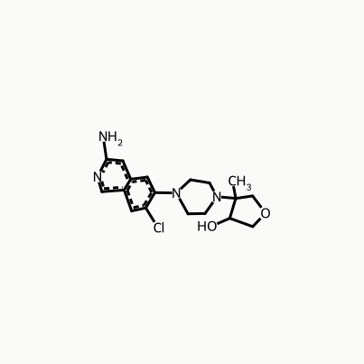 CC1(N2CCN(c3cc4cc(N)ncc4cc3Cl)CC2)COCC1O